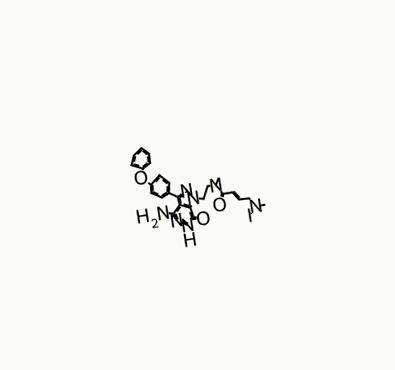 CN(I)C/C=C/C(=O)N(C)CCn1nc(-c2ccc(Oc3ccccc3)cc2)c2c(N)n[nH]c(=O)c21